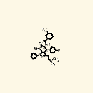 CCN1C(=O)[C@H](NC(=O)c2cccc(C(F)(F)F)c2)[C@H](c2ccc(F)cc2)c2c(CCN(C)C#N)nn(-c3ccccc3)c21